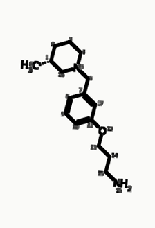 C[C@@H]1CCCN(Cc2cccc(OCCCN)c2)C1